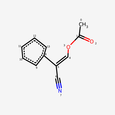 CC(=O)O/C=C(/C#N)c1ccccc1